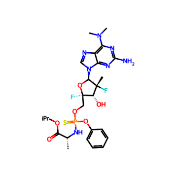 CC(C)OC(=O)[C@@H](C)NP(=S)(OC[C@@]1(F)O[C@@H](n2cnc3c(N(C)C)nc(N)nc32)[C@](C)(F)[C@@H]1O)Oc1ccccc1